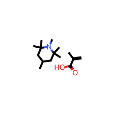 C=C(C)C(=O)O.CC1CC(C)(C)N(C)C(C)(C)C1